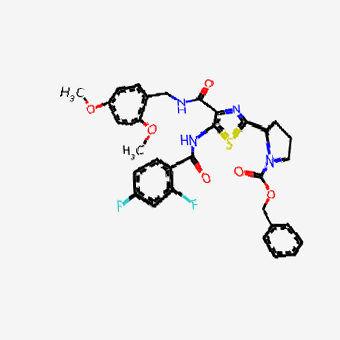 COc1ccc(CNC(=O)c2nc(C3CCCN3C(=O)OCc3ccccc3)sc2NC(=O)c2ccc(F)cc2F)c(OC)c1